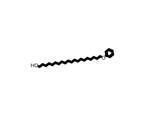 OCCCCCCCCCCCCCCCCCCCCOc1ccccc1